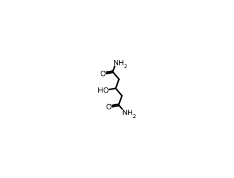 NC(=O)CC(O)CC(N)=O